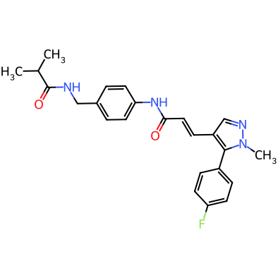 CC(C)C(=O)NCc1ccc(NC(=O)C=Cc2cnn(C)c2-c2ccc(F)cc2)cc1